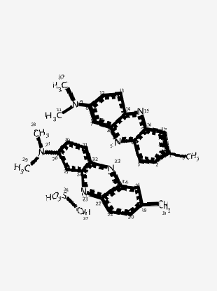 Cc1ccc2nc3cc(N(C)C)ccc3nc2c1.Cc1ccc2nc3cc(N(C)C)ccc3nc2c1.O=S(=O)(O)O